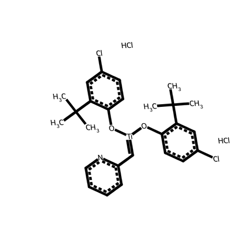 CC(C)(C)c1cc(Cl)ccc1[O][Ti](=[CH]c1ccccn1)[O]c1ccc(Cl)cc1C(C)(C)C.Cl.Cl